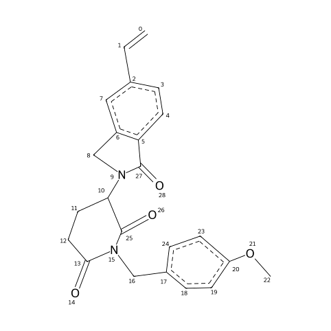 C=Cc1ccc2c(c1)CN(C1CCC(=O)N(Cc3ccc(OC)cc3)C1=O)C2=O